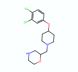 Clc1ccc(OC2CCN(CC3CNCCO3)CC2)cc1Cl